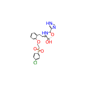 C[C@H](O)[C@@H](CCc1ccccc1OCCS(=O)(=O)c1ccc(Cl)cc1)NC(=O)c1c[nH]cn1